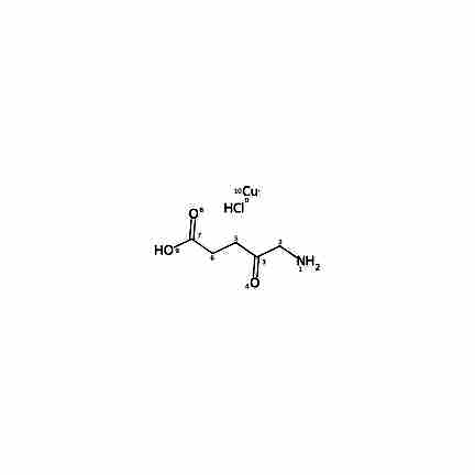 Cl.NCC(=O)CCC(=O)O.[Cu]